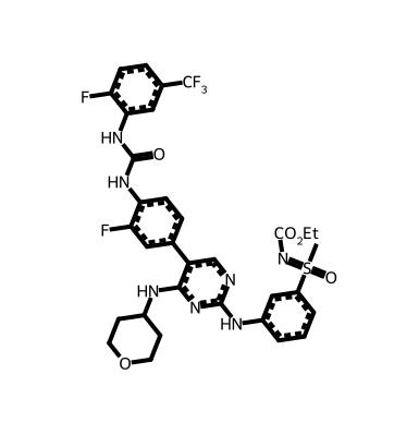 CCOC(=O)N=S(C)(=O)c1cccc(Nc2ncc(-c3ccc(NC(=O)Nc4cc(C(F)(F)F)ccc4F)c(F)c3)c(NC3CCOCC3)n2)c1